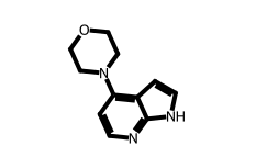 c1cc(N2CCOCC2)c2cc[nH]c2n1